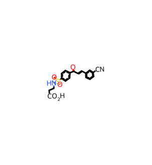 N#Cc1cccc(/C=C/C(=O)c2ccc(S(=O)(=O)NCCC(=O)O)cc2)c1